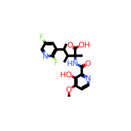 COc1ccnc(C(=O)NC(C)(C(=O)O)C(C)C(C)c2cc(F)cnc2F)c1O